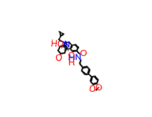 O=C1CC[C@@]2(O)C3Cc4ccc(C(=O)NCCc5ccc(-c6ccc7c(c6)OCO7)cc5)c(O)c4[C@@]2(CCN3CC2CC2)C1